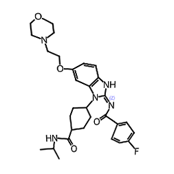 CC(C)NC(=O)C1CCC(n2/c(=N\C(=O)c3ccc(F)cc3)[nH]c3ccc(OCCN4CCOCC4)cc32)CC1